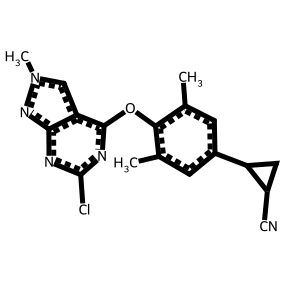 Cc1cc(C2CC2C#N)cc(C)c1Oc1nc(Cl)nc2nn(C)cc12